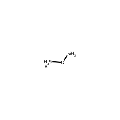 [B].[SiH3]O[SiH3]